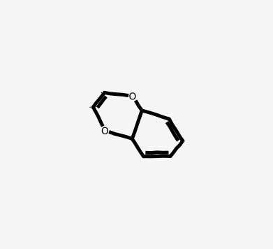 [C]1=[C]OC2C=CC=CC2O1